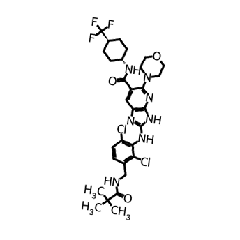 CC(C)(C)C(=O)NCc1ccc(Cl)c(Nc2nc3cc(C(=O)N[C@H]4CC[C@H](C(F)(F)F)CC4)c(N4CCOCC4)nc3[nH]2)c1Cl